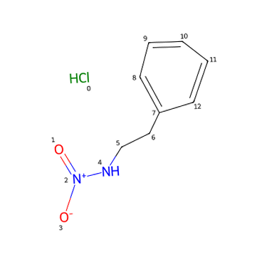 Cl.O=[N+]([O-])NCCc1ccccc1